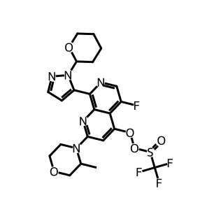 CC1COCCN1c1cc(OOS(=O)C(F)(F)F)c2c(F)cnc(-c3ccnn3C3CCCCO3)c2n1